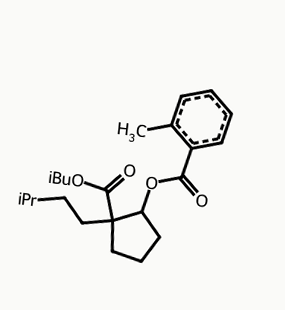 Cc1ccccc1C(=O)OC1CCCC1(CCC(C)C)C(=O)OCC(C)C